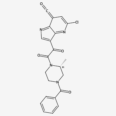 C[C@@H]1CN(C(=O)c2ccccc2)CCN1C(=O)C(=O)C1=CN=c2c1nc(Cl)cc2=C=O